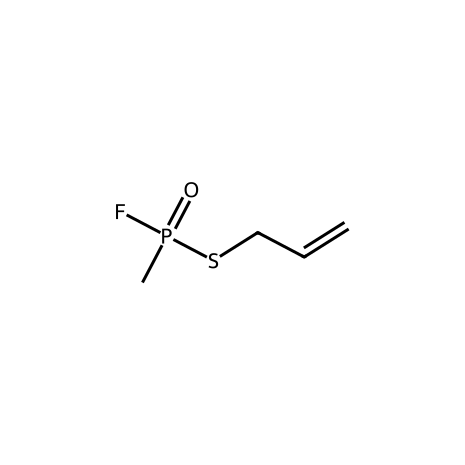 C=CCSP(C)(=O)F